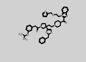 CC(C)Oc1cccc(CC(=O)N2CCC(CCN3CCC(C(=O)c4nc5ccccc5n4CCOCc4ccco4)CC3)(C3=COC(Cc4ccccc4)O3)C2)c1